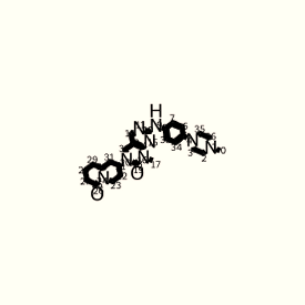 CN1CCN(c2ccc(Nc3ncc4c(n3)N(C)C(=O)N(C3CCN5C(=O)CCCC5C3)C4)cc2)CC1